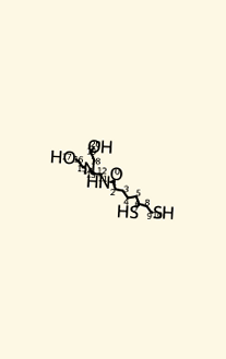 O=C(CCCCC(S)CCS)NCCN(CCO)CCO